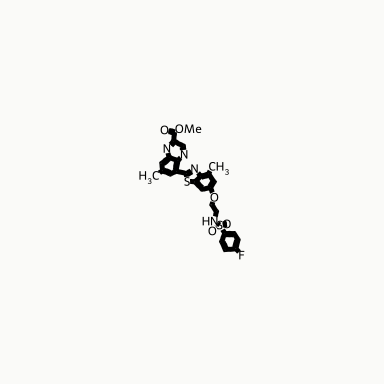 COC(=O)c1cnc2c(-c3nc4c(C)cc(OCCNS(=O)(=O)c5ccc(F)cc5)cc4s3)cc(C)cc2n1